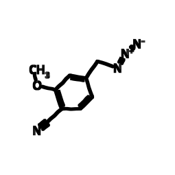 COc1cc(CN=[N+]=[N-])ccc1C#N